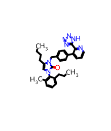 CCCCc1cn(-c2c(C)cccc2CCC)c(=O)n1Cc1ccc(-c2cccnc2-c2nnn[nH]2)cc1